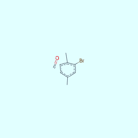 C=O.Cc1ccc(C)c(Br)c1